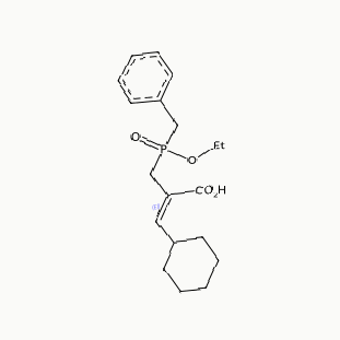 CCOP(=O)(C/C(=C/C1CCCCC1)C(=O)O)Cc1ccccc1